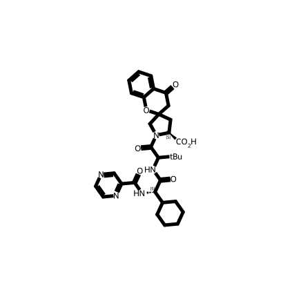 CC(C)(C)C(NC(=O)[C@@H](NC(=O)c1cnccn1)C1CCCCC1)C(=O)N1CC2(CC(=O)c3ccccc3O2)C[C@H]1C(=O)O